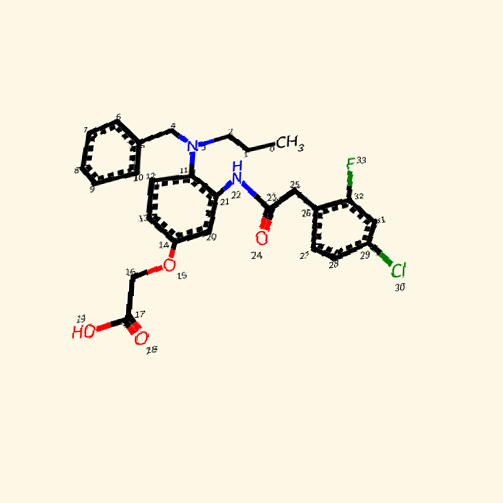 CCCN(Cc1ccccc1)c1ccc(OCC(=O)O)cc1NC(=O)Cc1ccc(Cl)cc1F